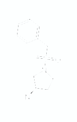 N[C@@H]1CCN(S(=O)(=O)Cc2ccccc2)C1